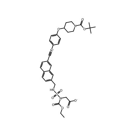 CCOC(=O)N(CC(=O)[O-])S(=O)(=O)NCc1ccc2ccc(C#[N+]c3ccc(OC4CCN(C(=O)OC(C)(C)C)CC4)cc3)cc2c1